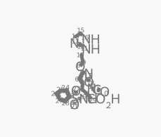 O=C=NC(Cc1cc(OCCNC2=NCCN2)no1)(NS(=O)(=O)c1ccccc1)C(=O)O